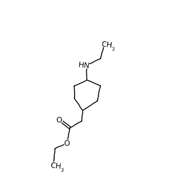 CCNC1CCC(CC(=O)OCC)CC1